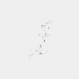 CC(F)(C1CCN(C(=O)Nc2ccc(C#N)nc2)CC1)S(=O)(=O)c1cccc(F)c1